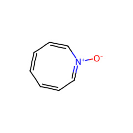 [O-][N+]1=CC=CC=CC=C1